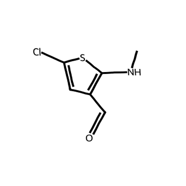 CNc1sc(Cl)cc1C=O